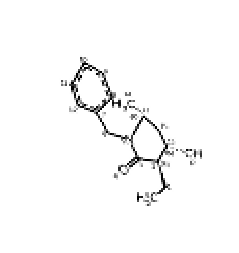 CC[C@H]1C(=O)N(Cc2ccccc2)[C@H](C)C[C@@H]1O